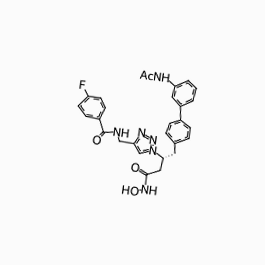 CC(=O)Nc1cccc(-c2ccc(C[C@H](CC(=O)NO)n3cc(CNC(=O)c4ccc(F)cc4)nn3)cc2)c1